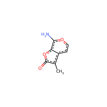 Cc1c2ccoc(N)c-2oc1=O